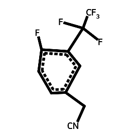 [C-]#[N+]Cc1ccc(F)c(C(F)(F)C(F)(F)F)c1